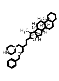 C[C@@H]1C(CCC(COCc2ccccc2)CN2CCNCC2)O[C@H]2C[C@H]3[C@@H]4CCC5CCCC[C@]5(C)[C@H]4CC[C@]3(C)[C@H]21